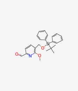 COc1nc(C=O)ccc1CO[Si](c1ccccc1)(c1ccccc1)C(C)(C)C